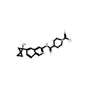 N#C[C@]1(c2ccc3cnc(NC(=O)C4CCN(C(=O)C(F)(F)F)CC4)cc3c2)CC12CC2